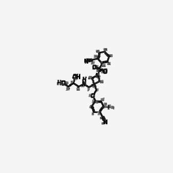 N#Cc1ccc(OCC2(CNCC(O)CO)CN(S(=O)(=O)c3ccccc3C#N)C2)cc1F